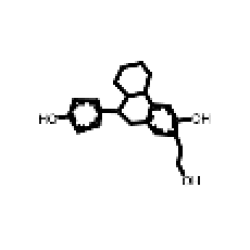 OCCc1cc2c(cc1O)C1CCCCC1C(c1ccc(O)cc1)C2